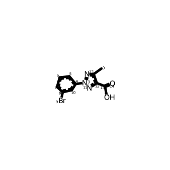 Cc1nn(-c2cccc(Br)c2)nc1C(=O)O